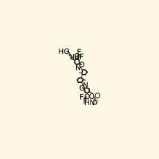 Cc1c(-c2nc3cc(CNCCO)c(OC(F)F)cc3o2)cccc1-c1cccc(-c2nc3cc(COC(=O)[C@@H]4CCCN4)c(OC(F)F)cc3o2)c1C